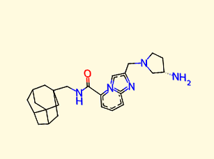 N[C@H]1CCN(Cc2cn3c(C(=O)NCC45CC6CC7CC(C4)C7(C6)C5)cccc3n2)C1